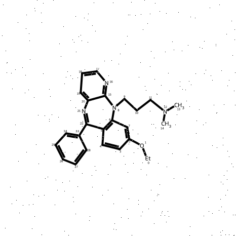 CCOc1ccc2c(c1)N(CCCN(C)C)c1ncccc1N=C2c1ccccc1